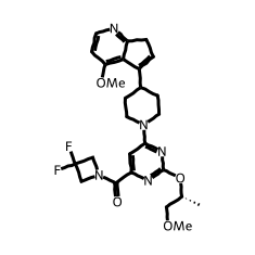 COC[C@@H](C)Oc1nc(C(=O)N2CC(F)(F)C2)cc(N2CCC(C3=CCc4nccc(OC)c43)CC2)n1